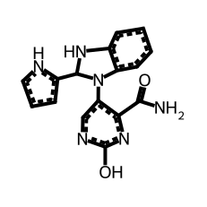 NC(=O)c1nc(O)ncc1N1c2ccccc2NC1c1ccc[nH]1